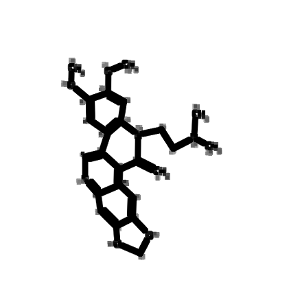 C=C1c2c(cnc3cc4c(cc23)OCO4)-c2cc(OC)c(OC)cc2N1CCN(C)C